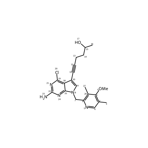 COc1c(C)cnc(Cn2cc(C#CCCC(C)O)c3c(Cl)nc(N)nc32)c1C